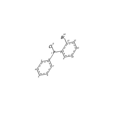 ClP(c1ccccc1)c1ccccc1Br